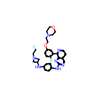 FCCN1CC(Nc2ccc(Nc3ncc4ccnc(-c5cc(OCCN6CCOCC6)ccc5F)c4n3)cc2)C1